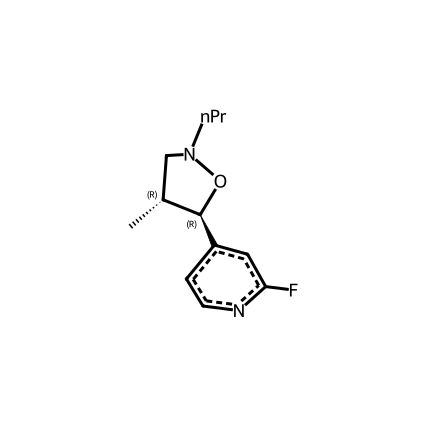 CCCN1C[C@@H](C)[C@H](c2ccnc(F)c2)O1